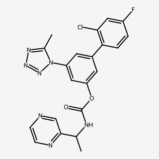 Cc1nnnn1-c1cc(OC(=O)NC(C)c2cnccn2)cc(-c2ccc(F)cc2Cl)c1